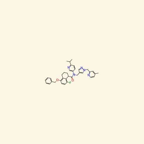 Cc1ccnc(Cn2cc(CN(C(=O)C3CCCc4c(OCc5ccccc5)ccc(F)c43)c3ccc(C(C)C)nc3)cn2)c1